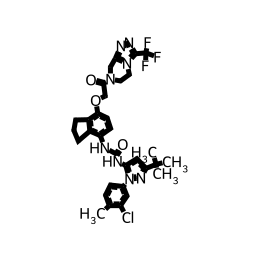 Cc1ccc(-n2nc(C(C)(C)C)cc2NC(=O)Nc2ccc(OCC(=O)N3CCn4c(nnc4C(F)(F)F)C3)c3c2CCC3)cc1Cl